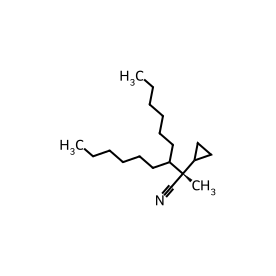 CCCCCCC(CCCCCC)[C@@](C)(C#N)C1CC1